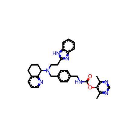 Cc1ncnc(C)c1OC(=O)NCc1ccc(CN(CCc2nc3ccccc3[nH]2)C2CCCc3cccnc32)cc1